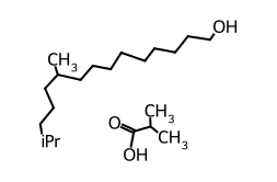 CC(C)C(=O)O.CC(C)CCCC(C)CCCCCCCCCO